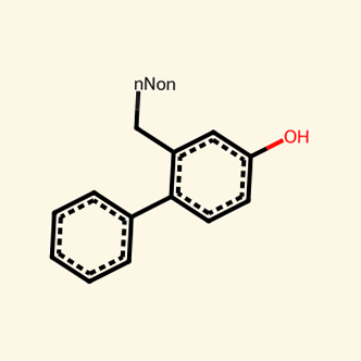 CCCCCCCCCCc1cc(O)ccc1-c1ccccc1